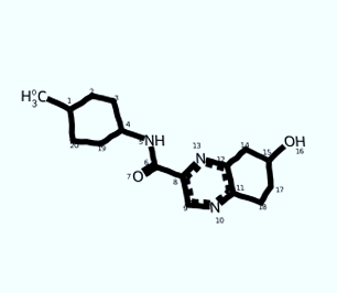 CC1CCC(NC(=O)c2cnc3c(n2)CC(O)CC3)CC1